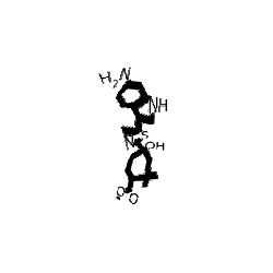 COC(=O)C1CCC(O)(c2ncc(-c3c[nH]c4cc(N)ccc34)s2)CC1(C)C